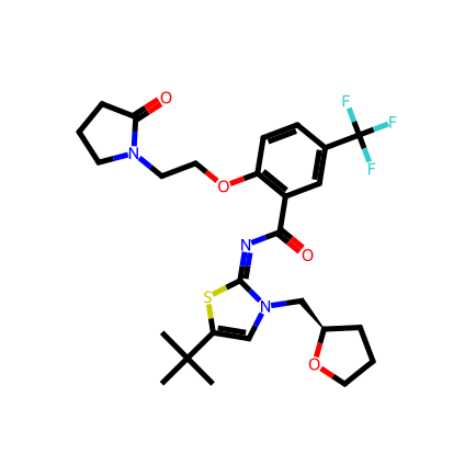 CC(C)(C)c1cn(C[C@H]2CCCO2)c(=NC(=O)c2cc(C(F)(F)F)ccc2OCCN2CCCC2=O)s1